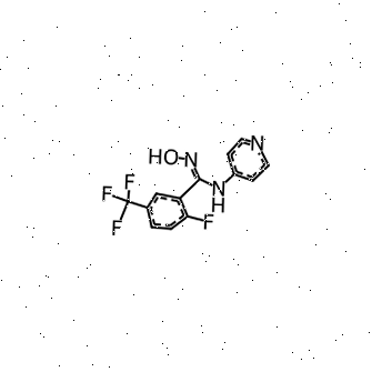 ON=C(Nc1ccncc1)c1cc(C(F)(F)F)ccc1F